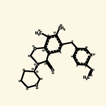 C=Cc1ccc(Cc2cc3c(c(C)c2C)OCN([C@@H]2CCCOC2)C3=O)cn1